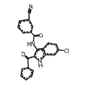 N#Cc1cccc(C(=O)Nc2c(C(=O)c3ccccc3)[nH]c3cc(Cl)ccc23)c1